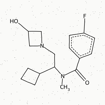 CN(C(=O)c1ccc(F)cc1)C(CN1CC(O)C1)C1CCC1